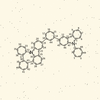 c1ccc(-n2c3ccccc3c3cc(-c4cccc(-c5ccc6c(c5)c5cccc7c5n6-c5ccccc5-c5ccccc5-7)c4)ccc32)cc1